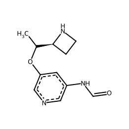 CC(Oc1cncc(NC=O)c1)[C@@H]1CCN1